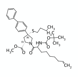 C=CCCCCCC(NC(=O)OC(C)(C)C)C(=O)N1C[C@](SCCCC)(c2ccc(-c3ccccc3)cc2)C[C@H]1C(=O)OC